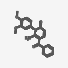 COc1ccc(-n2c(N)c(C(=O)c3ccccc3)ccc2=O)cc1OC